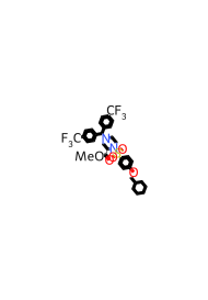 COC(=O)[C@@H]1CN(C(c2ccc(C(F)(F)F)cc2)c2ccc(C(F)(F)F)cc2)CCN1S(=O)(=O)c1ccc(OCC2CCCCC2)cc1